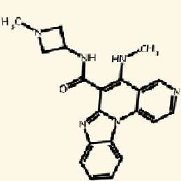 CNc1c(C(=O)NC2CN(C)C2)c2nc3ccccc3n2c2ccncc12